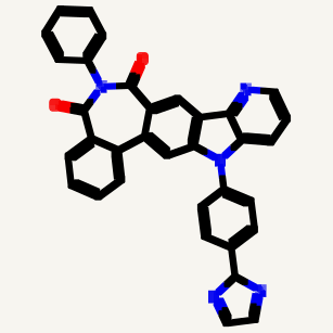 O=c1c2ccccc2c2cc3c(cc2c(=O)n1-c1ccccc1)c1ncccc1n3-c1ccc(C2N=CC=N2)cc1